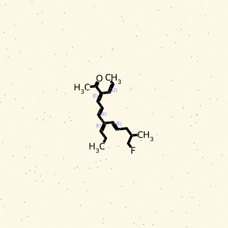 C\C=C/C(=C\C=C\C(\C=C\CC(C)CF)=C\CC)C(C)=O